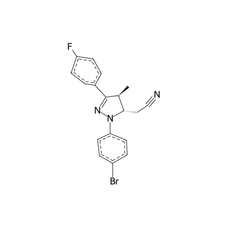 C[C@@H]1C(c2ccc(F)cc2)=NN(c2ccc(Br)cc2)[C@H]1CC#N